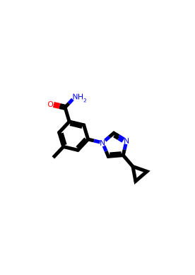 Cc1cc(C(N)=O)cc(-n2cnc(C3CC3)c2)c1